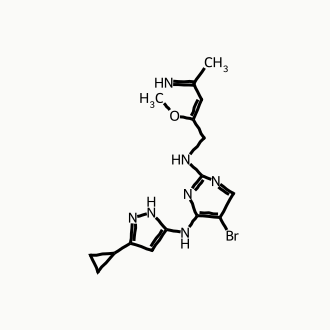 CO/C(=C\C(C)=N)CNc1ncc(Br)c(Nc2cc(C3CC3)n[nH]2)n1